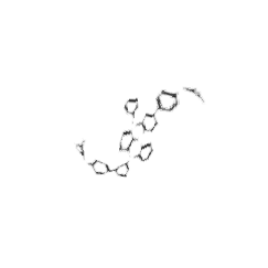 CC1OC1Oc1ccc(-c2cccc(N3c4ccccc4B4c5ccc(-c6ccc(OC7OC7C)cc6)cc5N(c5ccccc5)c5cccc3c54)c2)cc1